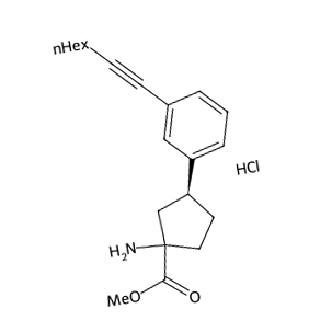 CCCCCCC#Cc1cccc([C@H]2CCC(N)(C(=O)OC)C2)c1.Cl